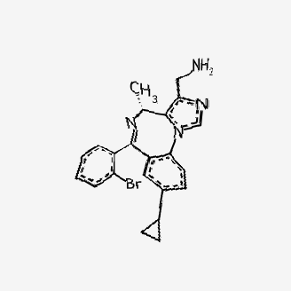 C[C@H]1N=C(c2ccccc2Br)c2cc(C3CC3)ccc2-n2cnc(CN)c21